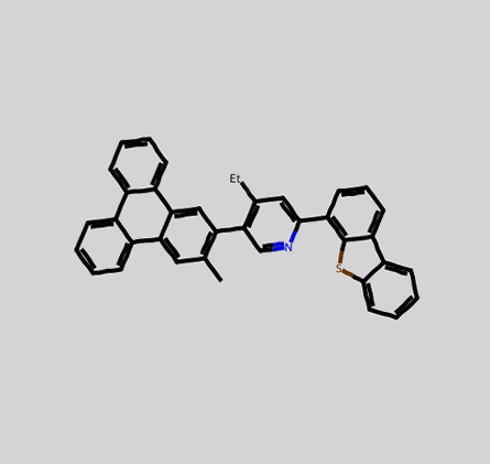 CCc1cc(-c2cccc3c2sc2ccccc23)ncc1-c1cc2c3ccccc3c3ccccc3c2cc1C